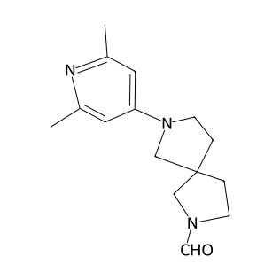 Cc1cc(N2CCC3(CCN(C=O)C3)C2)cc(C)n1